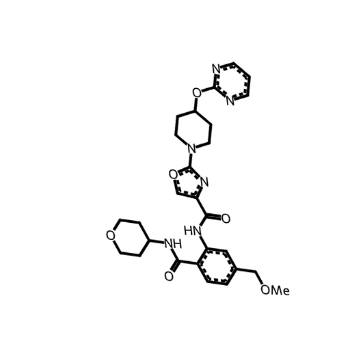 COCc1ccc(C(=O)NC2CCOCC2)c(NC(=O)c2coc(N3CCC(Oc4ncccn4)CC3)n2)c1